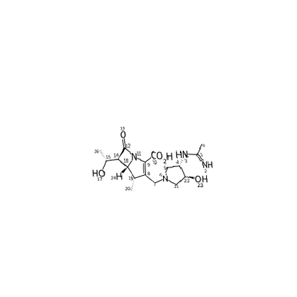 CC(=N)N[C@H]1CN(CC2=C(C(=O)O)N3C(=O)[C@H]([C@@H](C)O)[C@H]3[C@H]2C)C[C@@H]1O